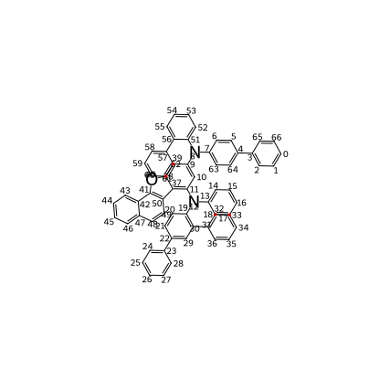 c1ccc(-c2ccc(N(c3cc(N(c4ccccc4)c4ccc(-c5ccccc5)cc4-c4ccccc4)c4c(c3)oc3c5ccccc5ccc34)c3ccccc3-c3ccccc3)cc2)cc1